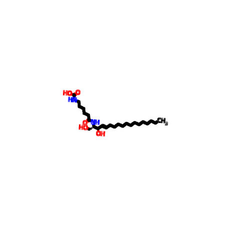 CCCCCCCCCCCCCC=C[C@@H](O)[C@H](CO)NC(=O)CCCCCNC(=O)O